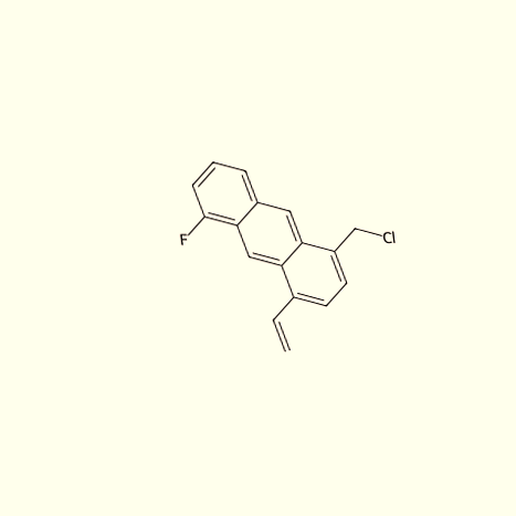 C=Cc1ccc(CCl)c2cc3cccc(F)c3cc12